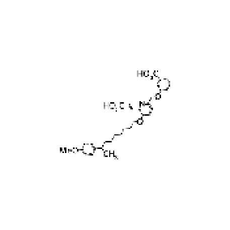 COc1ccc(C(C)CCCCCCCOc2ccc(COc3cccc(C(=O)O)c3)nc2C=CC(=O)O)cc1